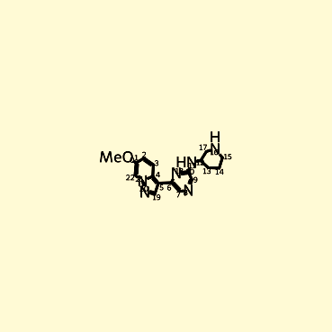 COc1ccc2c(-c3cncc(NC4CCCNC4)n3)cnn2c1